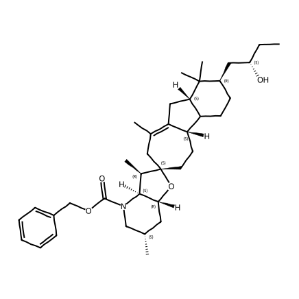 CC[C@H](O)C[C@H]1CCC2[C@@H]3CC[C@@]4(CC(C)=C3C[C@@H]2C1(C)C)O[C@@H]1C[C@H](C)CN(C(=O)OCc2ccccc2)[C@H]1[C@H]4C